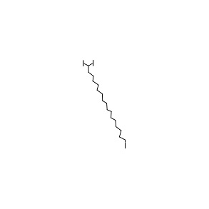 ICCCCCCCCCCCCCCCCC(I)I